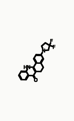 O=c1c2c([nH]c3ccccc13)-c1ccc(N3CCC(F)(F)C3)cc1CC2